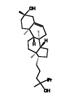 CC(C)C(C)(O)CCC[C@H]1CC[C@H]2[C@]3(C)CC=C4C[C@@](C)(O)CC[C@]4(C)[C@H]3CC[C@]12C